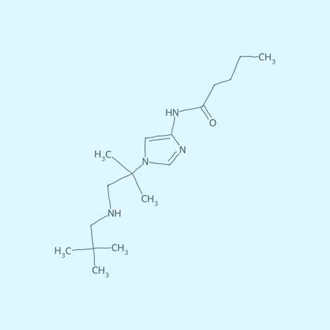 CCCCC(=O)Nc1cn(C(C)(C)CNCC(C)(C)C)cn1